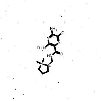 C[N+]1(C)CCC[C@@H]1CNC(=O)c1nc(Cl)c(N)nc1N.[I-]